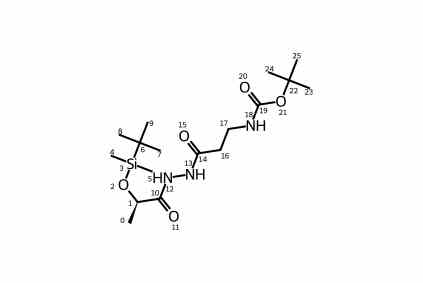 C[C@@H](O[Si](C)(C)C(C)(C)C)C(=O)NNC(=O)CCNC(=O)OC(C)(C)C